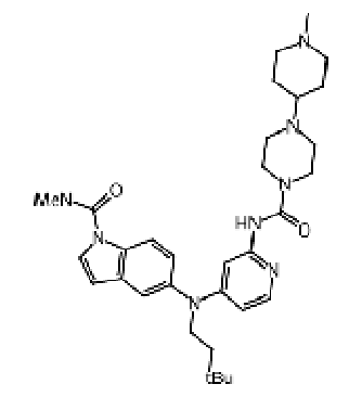 CNC(=O)n1ccc2cc(N(CCC(C)(C)C)c3ccnc(NC(=O)N4CCN(C5CCN(C)CC5)CC4)c3)ccc21